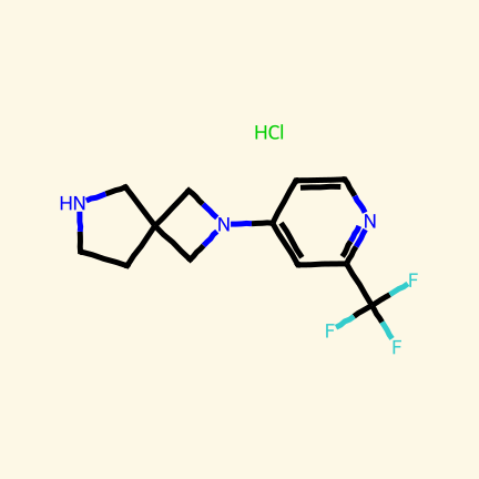 Cl.FC(F)(F)c1cc(N2CC3(CCNC3)C2)ccn1